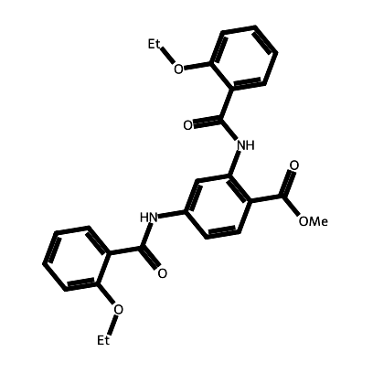 CCOc1ccccc1C(=O)Nc1ccc(C(=O)OC)c(NC(=O)c2ccccc2OCC)c1